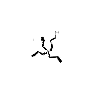 C=CC[N+](CC=C)(CC=C)CCCO.[I-]